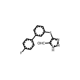 O=Cc1[nH]nnc1Sc1cccc(-c2ccc(F)cc2)c1